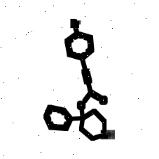 O=C(C#Cc1ccc(Br)cc1)OC1(c2ccccc2)CCNCC1